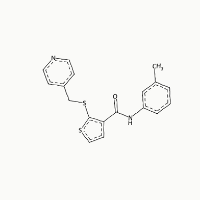 Cc1cccc(NC(=O)c2ccsc2SCc2ccncc2)c1